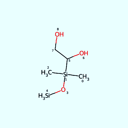 C[Si](C)(O[SiH3])C(O)CO